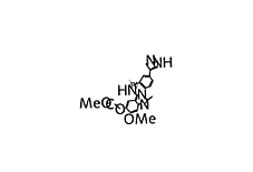 COCCOc1cc2c(N[C@H](C)c3cccc(-c4cn[nH]c4)c3)nc(C)nc2cc1OC